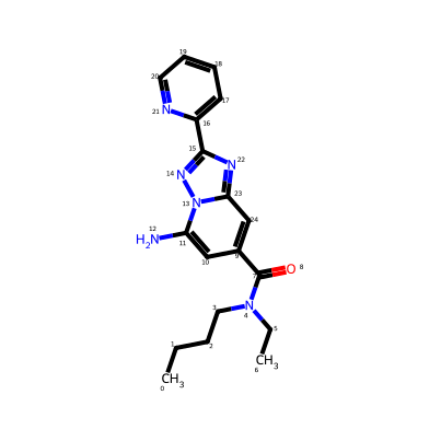 CCCCN(CC)C(=O)c1cc(N)n2nc(-c3ccccn3)nc2c1